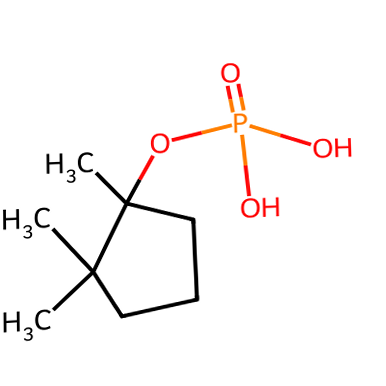 CC1(C)CCCC1(C)OP(=O)(O)O